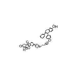 O=C1CCC(N2C(=O)c3ccc(N4CCN(CCCN5CC(Oc6ccc(C7c8ccc(O)cc8CC[C@@H]7c7ccccc7)cc6)C5)CC4)cc3C2=O)C(=O)N1